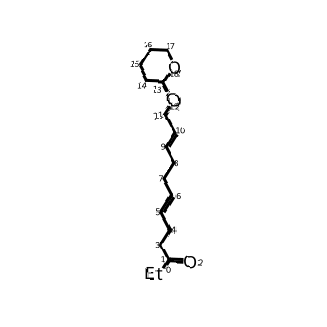 CCC(=O)CCC=CCCC=CCOC1CCCCO1